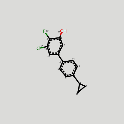 Oc1cc(-c2ccc(C3CC3)cc2)cc(Cl)c1F